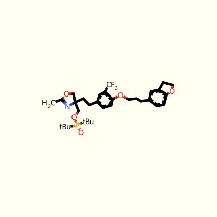 CC1=NC(CCc2ccc(OCCCc3ccc4c(c3)CCO4)c(C(F)(F)F)c2)(COP(=O)(C(C)(C)C)C(C)(C)C)CO1